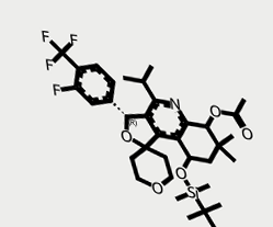 CC(=O)OC1c2nc(C(C)C)c3c(c2C(O[Si](C)(C)C(C)(C)C)CC1(C)C)C1(CCOCC1)O[C@@H]3c1ccc(C(F)(F)F)c(F)c1